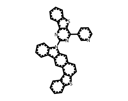 c1cncc(-c2nc(-n3c4ccccc4c4cc5c(ccc6sc7ccccc7c65)cc43)nc3c2sc2ccccc23)c1